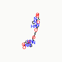 COO/C=N\[C@H](C(=O)N1CCC[C@H]1c1ncc(COC/C=C/COCc2cnc([C@@H]3CCCN3C(=O)[C@@H](NC(=O)OC)C(C)C)[nH]2)[nH]1)C(C)C